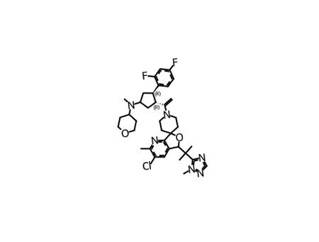 C=C([C@@H]1CC(N(C)C2CCOCC2)C[C@H]1c1ccc(F)cc1F)N1CCC2(CC1)OC(C(C)(C)c1ncnn1C)c1cc(Cl)c(C)nc12